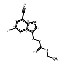 CCOC(=O)CCc1c[nH]c2c(C#N)cc(F)cc12